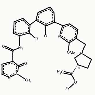 C=C(OCC)[C@H]1CCN(Cc2ccc(-c3cccc(-c4cccc(NC(=O)c5ccnn(C)c5=O)c4Cl)c3Cl)nc2OC)C1